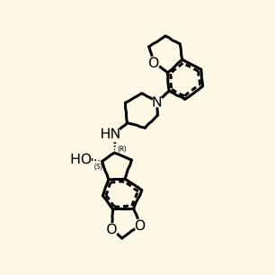 O[C@H]1c2cc3c(cc2C[C@H]1NC1CCN(c2cccc4c2OCCC4)CC1)OCO3